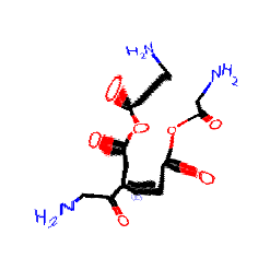 NCC(=O)OC(=O)/C=C(/C(=O)CN)C(=O)OC(=O)CN